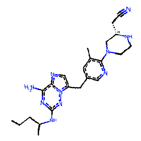 CCCC(C)Nc1nc(N)c2ncc(Cc3cnc(N4CCN[C@@H](CC#N)C4)c(C)c3)n2n1